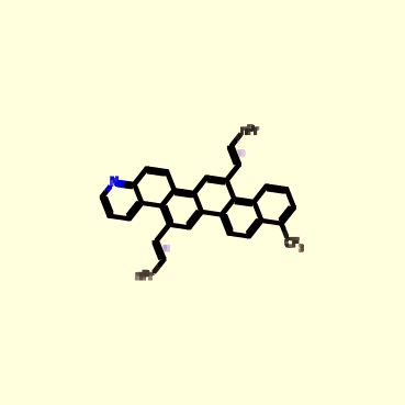 CCC/C=C/c1cc2c(cc(/C=C/CCC)c3c4cccc(C(F)(F)F)c4ccc23)c2ccc3ncccc3c12